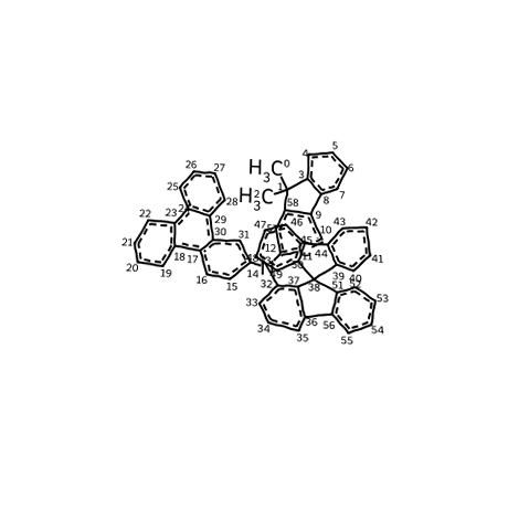 CC1(C)c2ccccc2-c2ccc(N(c3ccc4c5ccccc5c5ccccc5c4c3)c3cccc4c3C3(c5ccccc5-c5ccccc53)c3ccccc3-4)cc21